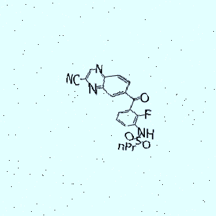 CCCS(=O)(=O)Nc1cccc(C(=O)c2ccc3ncc(C#N)nc3c2)c1F